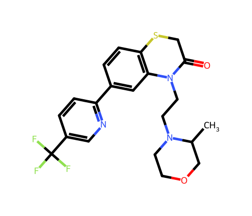 CC1COCCN1CCN1C(=O)CSc2ccc(-c3ccc(C(F)(F)F)cn3)cc21